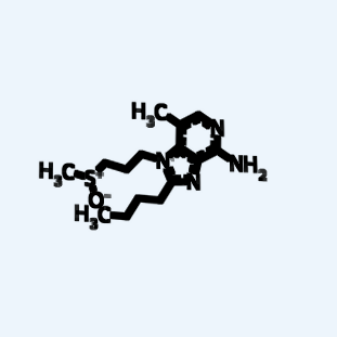 CCCCc1nc2c(N)ncc(C)c2n1CCC[S+](C)[O-]